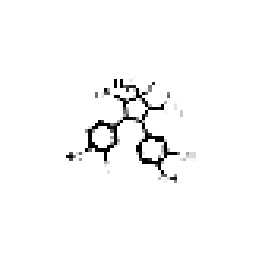 CCCC1C(c2ccc(O)c(O)c2)C(c2ccc(O)c(O)c2)C(C)C1(C)C